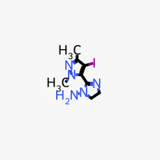 Cc1nn(C)c(C2=NCCN2N)c1I